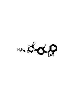 NC[C@H]1CN(c2ccc(-n3nnc4ccccc43)c(F)c2)C(=O)O1